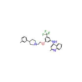 Cc1cccc(C2CCN(CCOc3cc(Nc4cc(C)nc5ccccc45)cc(C(F)(F)F)c3)CC2)c1